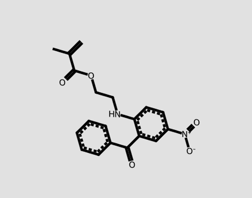 C=C(C)C(=O)OCCNc1ccc([N+](=O)[O-])cc1C(=O)c1ccccc1